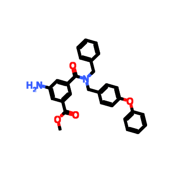 COC(=O)c1cc(N)cc(C(=O)N(Cc2ccccc2)Cc2ccc(Oc3ccccc3)cc2)c1